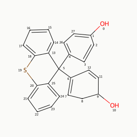 Oc1ccc(C2(C3=CCC(O)C=C3)c3ccccc3Sc3ccccc32)cc1